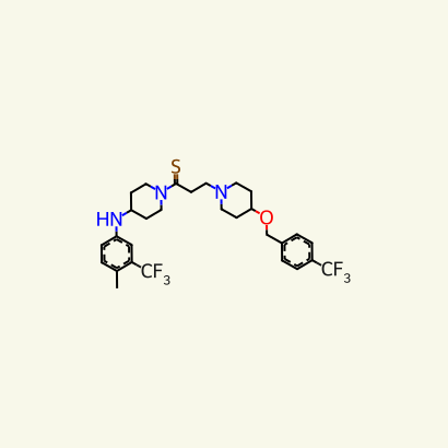 Cc1ccc(NC2CCN(C(=S)CCN3CCC(OCc4ccc(C(F)(F)F)cc4)CC3)CC2)cc1C(F)(F)F